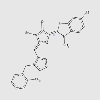 CCc1ccc2c(c1)S/C(=c1/s/c(=C\c3scc[n+]3Cc3ccccc3C)n(CC)c1=O)N2C